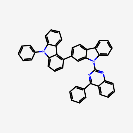 c1ccc(-c2nc(-n3c4ccccc4c4ccc(-c5cccc6c5c5ccccc5n6-c5ccccc5)cc43)nc3ccccc23)cc1